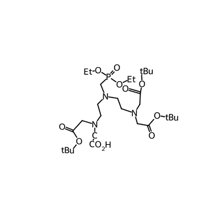 CCOP(=O)(CN(CCN(CC(=O)O)CC(=O)OC(C)(C)C)CCN(CC(=O)OC(C)(C)C)CC(=O)OC(C)(C)C)OCC